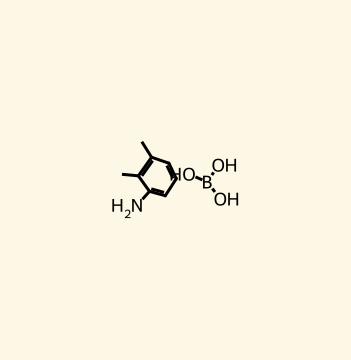 Cc1cccc(N)c1C.OB(O)O